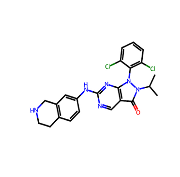 CC(C)n1c(=O)c2cnc(Nc3ccc4c(c3)CNCC4)nc2n1-c1c(Cl)cccc1Cl